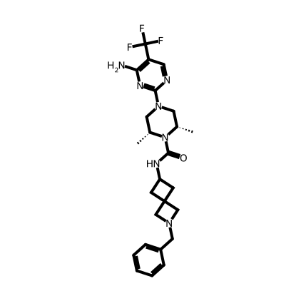 C[C@@H]1CN(c2ncc(C(F)(F)F)c(N)n2)C[C@H](C)N1C(=O)NC1CC2(C1)CN(Cc1ccccc1)C2